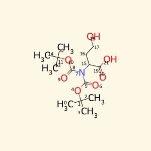 CC(C)(C)OC(=O)N(C(=O)OC(C)(C)C)C(CCO)C(=O)O